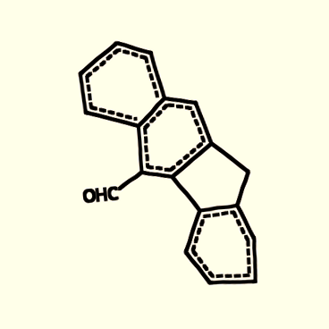 O=Cc1c2c(cc3ccccc13)Cc1ccccc1-2